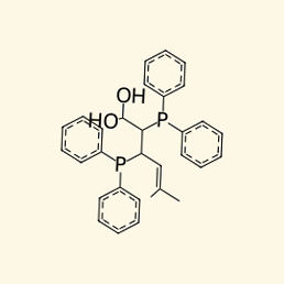 CC(C)=CC(C(C(O)O)P(c1ccccc1)c1ccccc1)P(c1ccccc1)c1ccccc1